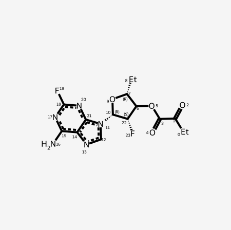 CCC(=O)C(=O)OC1[C@@H](CC)O[C@@H](n2cnc3c(N)nc(F)nc32)[C@H]1F